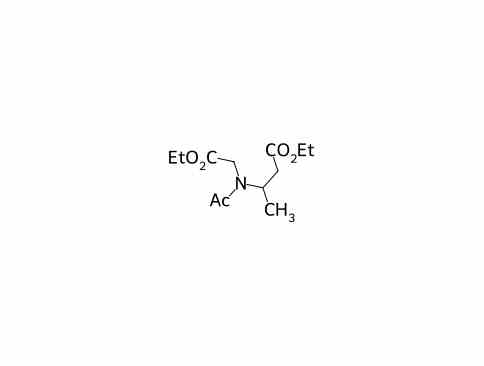 CCOC(=O)CC(C)N(CC(=O)OCC)C(C)=O